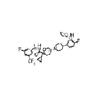 C[C@@H](NC(=O)[C@@]1(C2CC2)CC[C@@H](N2CCC(c3ccc(F)c(C(=O)O)c3)CC2)CO1)c1cc(F)cc(C(F)(F)F)c1